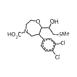 CSCC(O)C1OCCN(C(=O)O)CC1c1ccc(Cl)c(Cl)c1